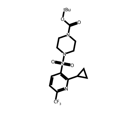 CC(C)(C)OC(=O)N1CCN(S(=O)(=O)c2ccc(C(F)(F)F)nc2C2CC2)CC1